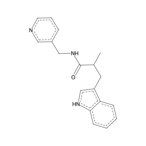 CC(Cc1c[nH]c2ccccc12)C(=O)NCc1cccnc1